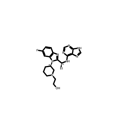 CC[C@H](Nc1ncnc2[nH]cnc12)c1nc2ccc(F)cc2n1[C@@H]1CCCN(CCO)C1